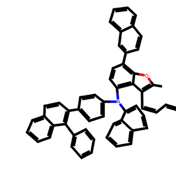 C=C/C=C\c1c(C)oc2c(-c3ccc4ccccc4c3)ccc(N(c3ccc(-c4ccc5ccccc5c4-c4ccccc4)cc3)c3cccc4ccccc34)c12